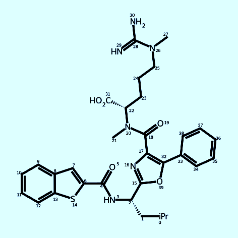 CC(C)C[C@H](NC(=O)c1cc2ccccc2s1)c1nc(C(=O)N(C)[C@@H](CCCN(C)C(=N)N)C(=O)O)c(-c2ccccc2)o1